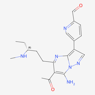 CC[C@H](CCc1nc2c(-c3ccc(C=O)nc3)cnn2c(N)c1C(C)=O)NC